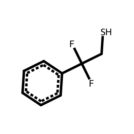 FC(F)(CS)c1ccccc1